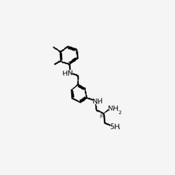 Cc1cccc(NCc2cccc(NC[C@@H](N)CS)c2)c1C